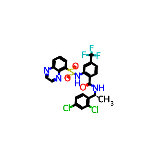 C[C@@H](NC(=O)c1ccc(C(F)(F)F)cc1NS(=O)(=O)c1cccc2nccnc12)c1ccc(Cl)cc1Cl